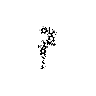 CC(=O)OCCOC(=O)Oc1ccc2[nH]c(C(=O)NC[C@H]3c4sc(NC5CCCCO5)c(C(=O)O)c4CCN3C(=O)O)cc2c1